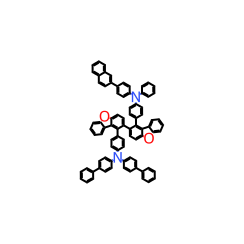 c1ccc(-c2ccc(N(c3ccc(-c4ccccc4)cc3)c3ccc(-c4c(-c5ccc6oc7ccccc7c6c5-c5ccc(N(c6ccccc6)c6ccc(-c7ccc8ccccc8c7)cc6)cc5)ccc5oc6ccccc6c45)cc3)cc2)cc1